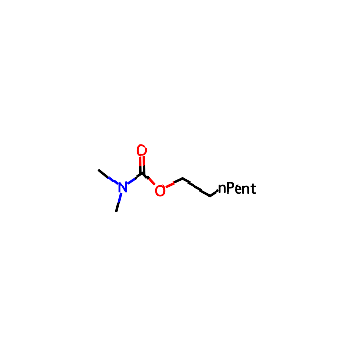 [CH2]CCCCCCOC(=O)N(C)C